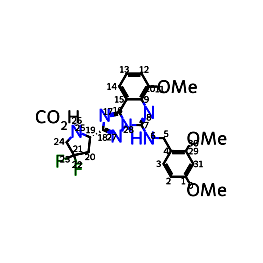 COc1ccc(CNc2nc3c(OC)cccc3c3nc([C@@H]4CC(F)(F)CN4C(=O)O)nn23)c(OC)c1